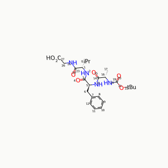 CC(C)[C@H](NC(=O)[C@H](Cc1ccccc1)NC(=O)[C@H](C)NC(=O)OC(C)(C)C)C(=O)NCC(=O)O